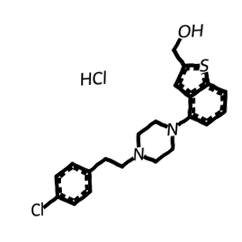 Cl.OCc1cc2c(N3CCN(CCc4ccc(Cl)cc4)CC3)cccc2s1